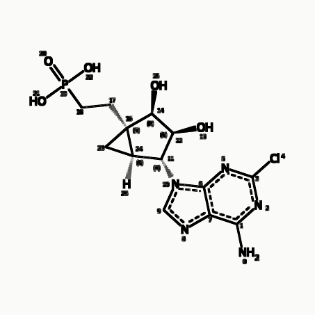 Nc1nc(Cl)nc2c1ncn2[C@H]1[C@H](O)[C@H](O)[C@]2(CCP(=O)(O)O)C[C@H]12